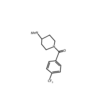 CNC1CCN(C(=O)c2ccc(C(F)(F)F)cc2)CC1